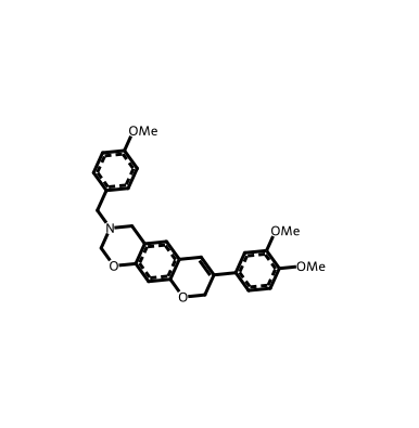 COc1ccc(CN2COc3cc4c(cc3C2)C=C(c2ccc(OC)c(OC)c2)CO4)cc1